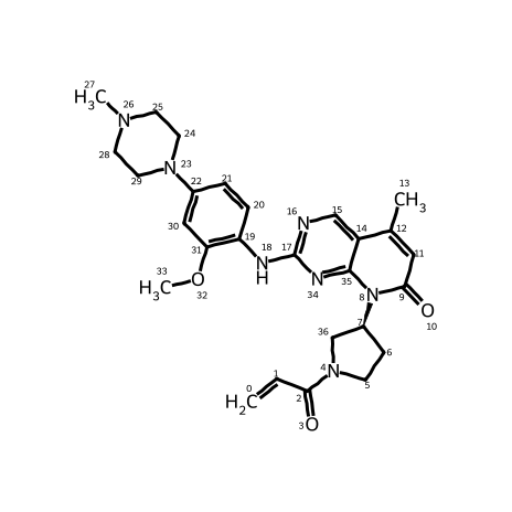 C=CC(=O)N1CC[C@H](n2c(=O)cc(C)c3cnc(Nc4ccc(N5CCN(C)CC5)cc4OC)nc32)C1